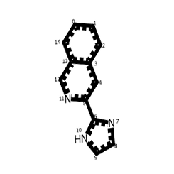 c1ccc2cc(-c3ncc[nH]3)ncc2c1